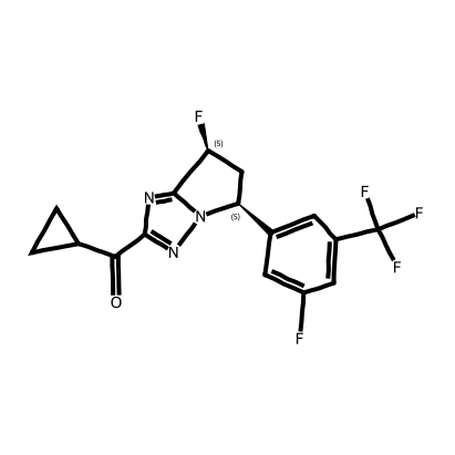 O=C(c1nc2n(n1)[C@H](c1cc(F)cc(C(F)(F)F)c1)C[C@@H]2F)C1CC1